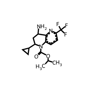 CC(C)OC(=O)N1c2ccc(C(F)(F)F)nc2C(N)CC1C1CC1